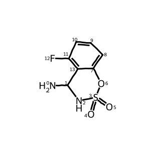 NC1NS(=O)(=O)Oc2cccc(F)c21